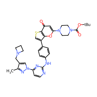 Cc1nn(-c2ccnc(Nc3ccc(-c4csc5c(=O)cc(N6CCN(C(=O)OC(C)(C)C)CC6)oc45)cc3)n2)cc1CN1CCC1